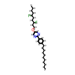 CCCCCCCCCCCc1ccc(-c2ncc(OCCC(F)CCC(F)CCCC)cn2)cc1